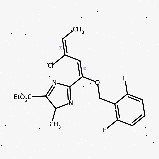 C/C=C(Cl)\C=C(\OCc1c(F)cccc1F)C1=NC(C)C(C(=O)OCC)=N1